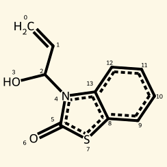 C=CC(O)n1c(=O)sc2ccccc21